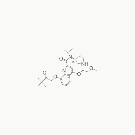 COCCOc1cc(C(=O)N(C(C)C)[C@H]2CCNC2)nc2c(OCC(=O)C(C)(C)C)cccc12